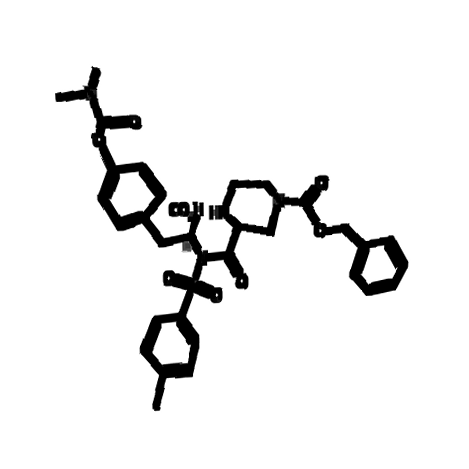 Cc1ccc(S(=O)(=O)N(C(=O)C2CN(C(=O)OCc3ccccc3)CCN2)[C@@H](Cc2ccc(OC(=O)N(C)C)cc2)C(=O)O)cc1